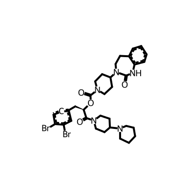 O=C(O[C@H](Cc1ccc(Br)c(Br)c1)C(=O)N1CCC(N2CCCCC2)CC1)N1CCC(N2CCc3ccccc3NC2=O)CC1